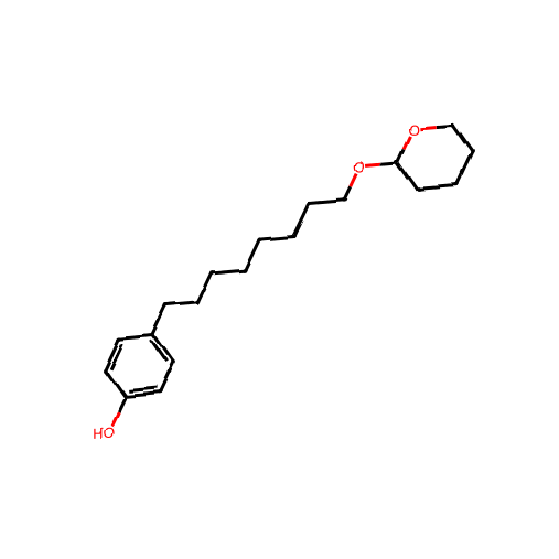 Oc1ccc(CCCCCCCCOC2CCCCO2)cc1